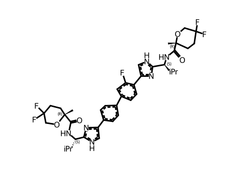 CC(C)[C@H](NC(=O)[C@@]1(C)CCC(F)(F)CO1)c1nc(-c2ccc(-c3ccc(-c4c[nH]c([C@@H](NC(=O)[C@@]5(C)CCC(F)(F)CO5)C(C)C)n4)c(F)c3)cc2)c[nH]1